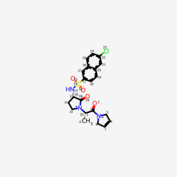 C[C@@H](C(=O)N1CC=CC1)N1CC[C@H](NS(=O)(=O)c2ccc3cc(Cl)ccc3c2)C1=O